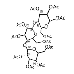 CC(=O)OCC1O[C@H](O[C@@H]2C(COC(C)=O)O[C@H](O[C@@H]3C(COC(C)=O)OC(OC(C)=O)C(OC(C)=O)[C@H]3OC(C)=O)[C@@H](OC(C)=O)C2OC(C)=O)[C@@H](OC(C)=O)C(OC(C)=O)[C@@H]1OC(C)=O